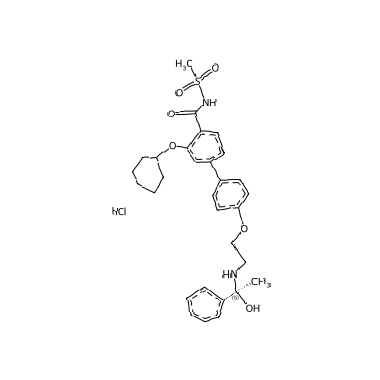 C[C@@](O)(NCCOc1ccc(-c2ccc(C(=O)NS(C)(=O)=O)c(OC3CCCCC3)c2)cc1)c1ccccc1.Cl